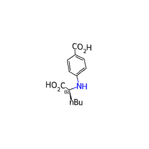 CCCC[C@H](Nc1ccc(C(=O)O)cc1)C(=O)O